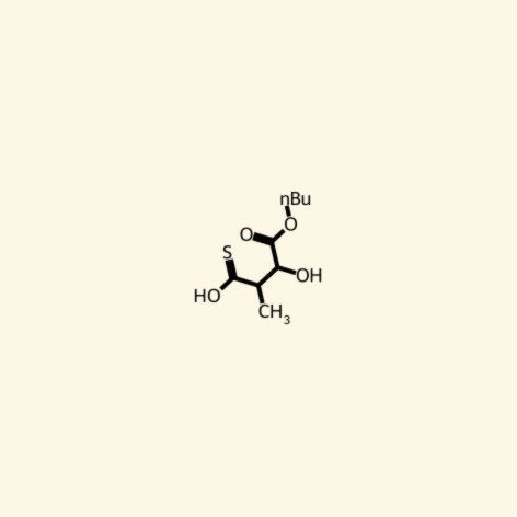 CCCCOC(=O)C(O)C(C)C(O)=S